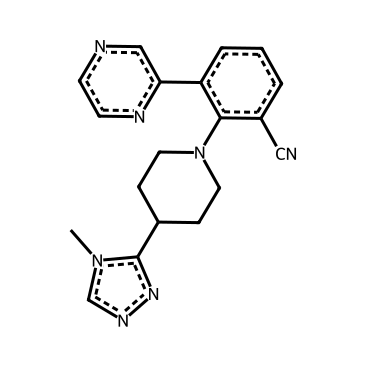 Cn1cnnc1C1CCN(c2c(C#N)cccc2-c2cnccn2)CC1